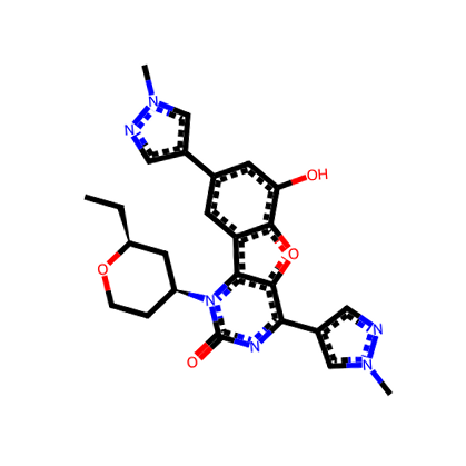 CC[C@H]1C[C@@H](n2c(=O)nc(-c3cnn(C)c3)c3oc4c(O)cc(-c5cnn(C)c5)cc4c32)CCO1